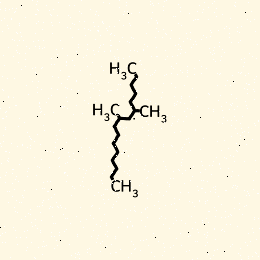 CCCCCCCCC(C)[CH]C(C)CCCCC